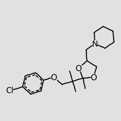 CC(C)(COc1ccc(Cl)cc1)C1(C)OCC(CN2CCCCC2)O1